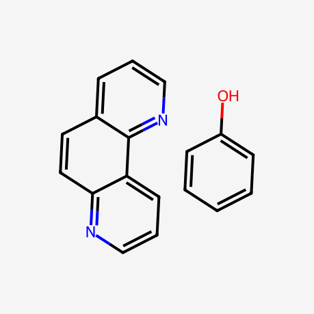 Oc1ccccc1.c1cnc2c(c1)ccc1ncccc12